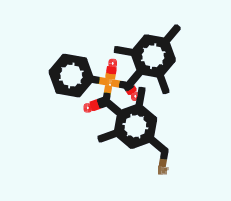 Cc1cc(C)c(C(=O)P(=O)(C(=O)c2c(C)cc(CBr)cc2C)c2ccccc2)c(C)c1